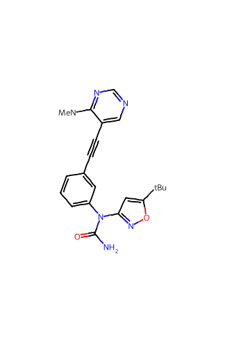 CNc1ncncc1C#Cc1cccc(N(C(N)=O)c2cc(C(C)(C)C)on2)c1